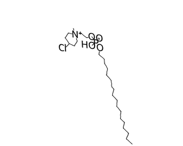 CCCCCCCCCCCCCCCCCCOP(=O)(O)OCC[N+]1(C)CCC(Cl)CC1